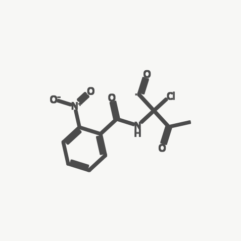 CC(=O)C(Cl)([C]=O)NC(=O)c1ccccc1[N+](=O)[O-]